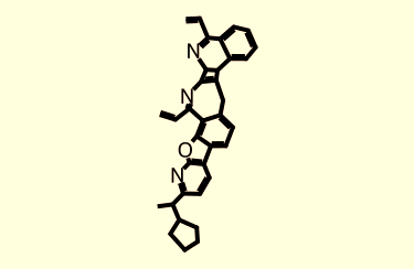 C=CC1=NC2C3=C(Cc4ccc5c(oc6nc(C(C)C7CCCC7)ccc65)c4C(C=C)=N3)C2c2ccccc21